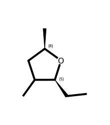 CC[C@@H]1O[C@H](C)CC1C